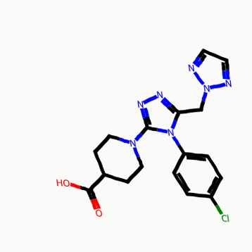 O=C(O)C1CCN(c2nnc(Cn3nccn3)n2-c2ccc(Cl)cc2)CC1